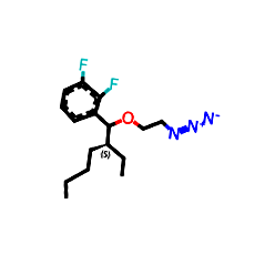 CCCC[C@H](CC)C(OCCN=[N+]=[N-])c1cccc(F)c1F